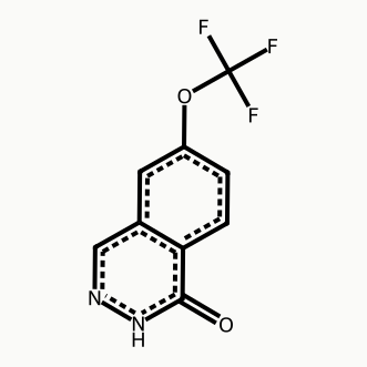 O=c1[nH]ncc2cc(OC(F)(F)F)ccc12